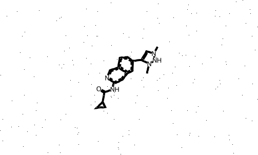 CN1C=C(c2ccc3cnc(NC(=O)C4CC4)cc3c2)N(C)N1